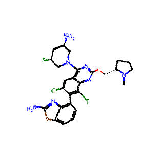 CN1CCC[C@H]1COc1nc(N2C[C@H](N)C[C@H](F)C2)c2cc(Cl)c(-c3cccc4sc(N)nc34)c(F)c2n1